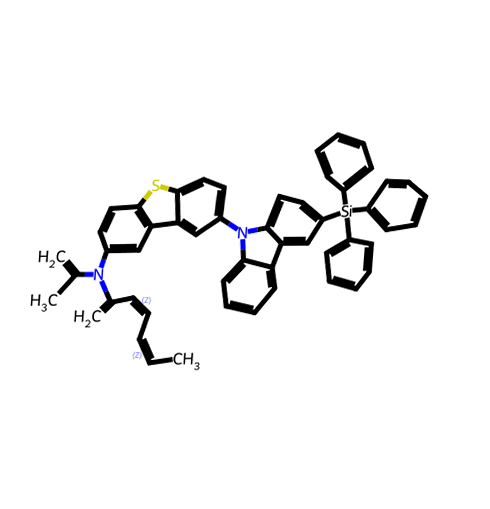 C=C(C)N(C(=C)/C=C\C=C/C)c1ccc2sc3ccc(-n4c5ccccc5c5cc([Si](c6ccccc6)(c6ccccc6)c6ccccc6)ccc54)cc3c2c1